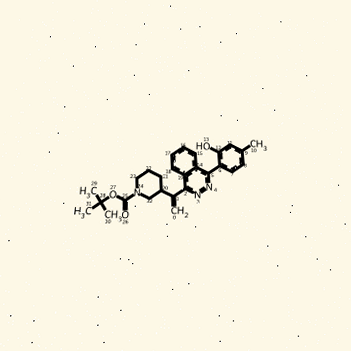 C=C(c1nnc(-c2ccc(C)cc2O)c2ccccc12)C1CCCN(C(=O)OC(C)(C)C)C1